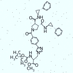 COC(=O)C(Cn1cnc(-c2ccc(C(=O)N3C[C@@H](C(=O)N[C@H]4C[C@@H]4c4ccccc4)[C@H](C(=O)N[C@H]4C[C@@H]4c4ccccc4)C3)cc2)c1)NC(=O)OC(C)(C)C